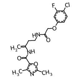 C=C(CCNC(=O)COc1ccc(Cl)c(F)c1)NC(=O)c1oc(C)nc1C